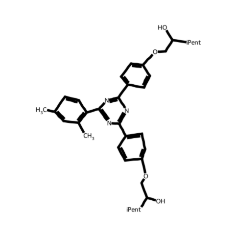 CCCC(C)C(O)COc1ccc(-c2nc(-c3ccc(OCC(O)C(C)CCC)cc3)nc(-c3ccc(C)cc3C)n2)cc1